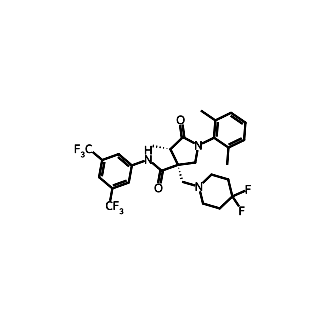 Cc1cccc(C)c1N1C[C@@](CN2CCC(F)(F)CC2)(C(=O)Nc2cc(C(F)(F)F)cc(C(F)(F)F)c2)[C@H](C)C1=O